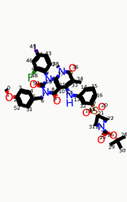 COc1ccc(Cn2c(=O)c3c(Nc4cccc(S(=O)(=O)C5CN(C(=O)OC(C)(C)C)C5)c4)c(C)c(=O)n(C)c3n(-c3ccc(I)cc3F)c2=O)cc1